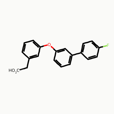 O=C(O)Cc1cccc(Oc2cccc(-c3ccc(F)cc3)c2)c1